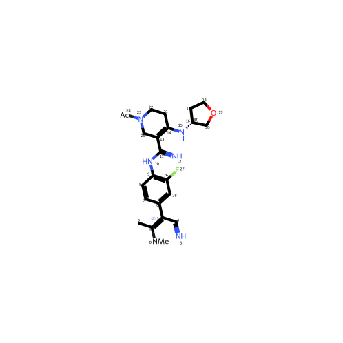 CN/C(C)=C(\C=N)c1ccc(NC(=N)C2=C(N[C@@H]3CCOC3)CCN(C(C)=O)C2)c(F)c1